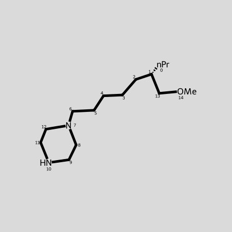 CCC[C@@H](CCCCCN1CCNCC1)COC